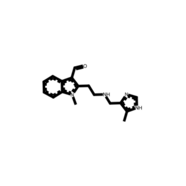 Cc1[nH]cnc1CNCCc1c(C=O)c2ccccc2n1C